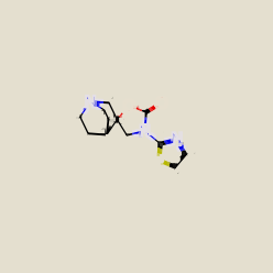 O=C1OC2(CN3CCC2CC3)CN1c1nccs1